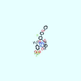 COc1cc(F)c(-c2ccc(OCc3ccccc3)cc2)cc1C(=O)N[C@H]1[C@@H](C(=O)Nc2cccc(S(=O)(=O)C(F)(F)F)c2)[C@@H]2C=C[C@H]1C2